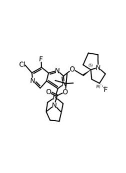 CC(C)(C)OC(=O)N1C2CCC1CN(c1nc(OC[C@@]34CCCN3C[C@H](F)C4)nc3c(F)c(Cl)ncc13)C2